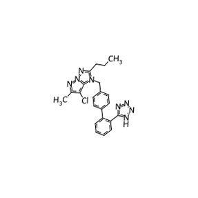 CCCc1nn2nc(C)c(Cl)c2n1Cc1ccc(-c2ccccc2-c2nnn[nH]2)cc1